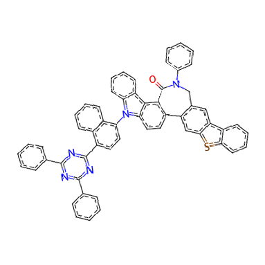 O=C1c2c(ccc3c2c2ccccc2n3-c2ccc(-c3nc(-c4ccccc4)nc(-c4ccccc4)n3)c3ccccc23)-c2cc3sc4ccccc4c3cc2CN1c1ccccc1